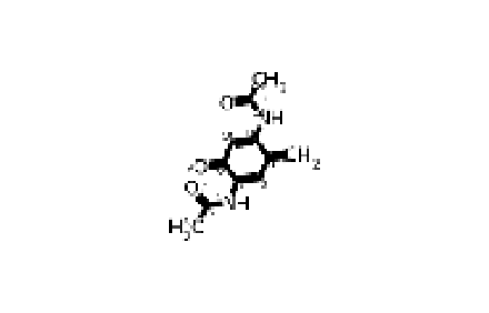 C=C1C=C(NC(C)=O)C(=O)C=C1NC(C)=O